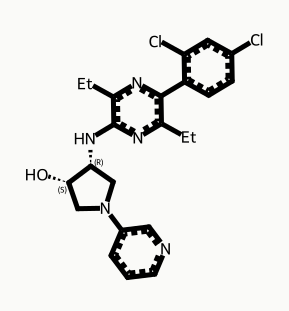 CCc1nc(-c2ccc(Cl)cc2Cl)c(CC)nc1N[C@@H]1CN(c2cccnc2)C[C@@H]1O